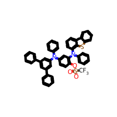 O=S(=O)(Oc1ccc(N(c2ccccc2)c2cc(-c3ccccc3)cc(-c3ccccc3)c2)cc1N(c1ccccc1)c1cccc2c1sc1ccccc12)C(F)(F)F